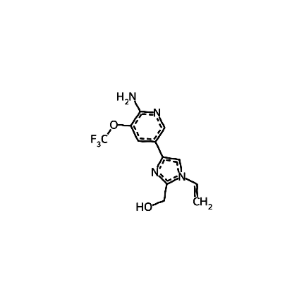 C=Cn1cc(-c2cnc(N)c(OC(F)(F)F)c2)nc1CO